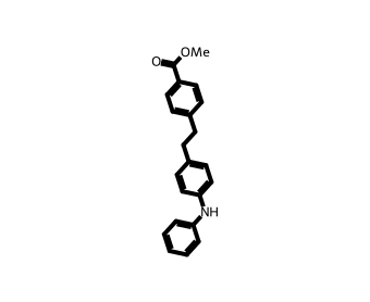 COC(=O)c1ccc(CCc2ccc(Nc3ccccc3)cc2)cc1